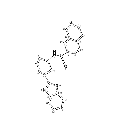 O=C(Nc1cccc(-c2nc3ccncc3s2)c1)c1ccc2ccccc2n1